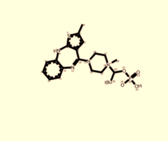 Cc1cc2c(s1)Nc1ccccc1N=C2N1CC[N+](C)(C(OP(=O)([O-])O)C(C)(C)C)CC1